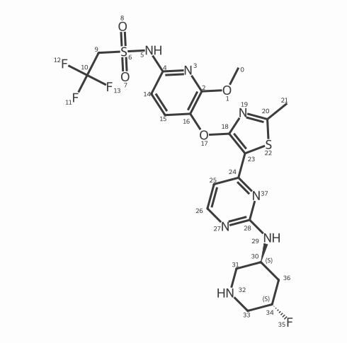 COc1nc(NS(=O)(=O)CC(F)(F)F)ccc1Oc1nc(C)sc1-c1ccnc(N[C@@H]2CNC[C@@H](F)C2)n1